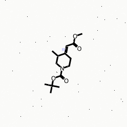 COC(=O)/C=C1\CCN(C(=O)OC(C)(C)C)CC1C